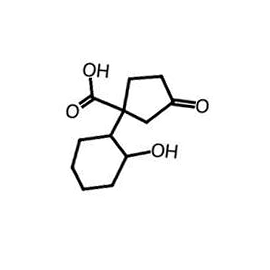 O=C1CCC(C(=O)O)(C2CCCCC2O)C1